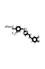 CCCCCOc1ccc(Nc2nc(/C=C/c3ccc(F)c(F)c3)cs2)cc1C(F)(F)F